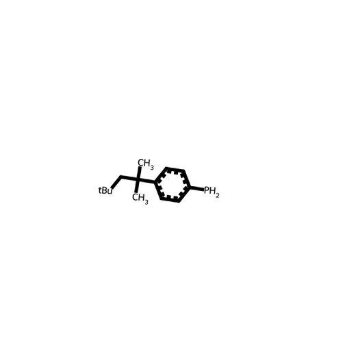 CC(C)(C)CC(C)(C)c1ccc(P)cc1